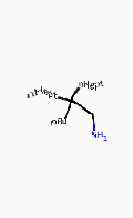 CCCCCCCC(CN)(CCCC)CCCCCCC